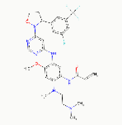 C=CC(=O)Nc1cc(Nc2cc(N3OCCC3c3cc(F)cc(C(F)(F)F)c3)ncn2)c(OC)cc1N(C)CCN(C)C